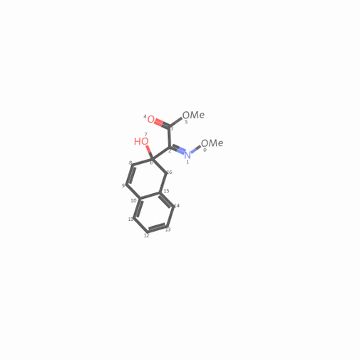 CON=C(C(=O)OC)C1(O)C=Cc2ccccc2C1